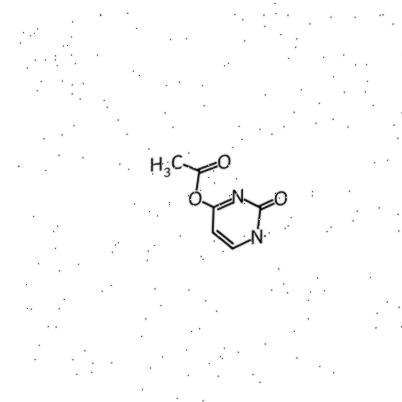 CC(=O)OC1=NC(=O)[N]C=C1